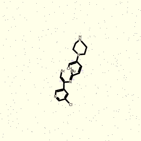 C\C=C(/C=C\C(=N\C(=C/C(C)=O)c1cncc(Cl)c1)C(C)CC)N1CCNCC1